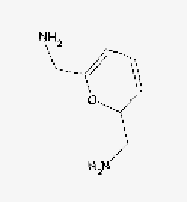 NCC1=CC=CC(CN)O1